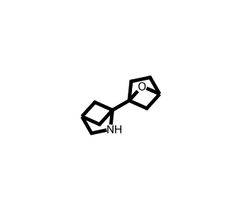 C1NC2(C34CCC(C3)O4)CC1C2